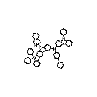 C1=CCCC([Si]2(c3ccccc3)c3ccccc3-c3cc4c5cc(N(c6ccc(-c7ccccc7)cc6)c6ccc7c(c6)c6ccccc6n7-c6ccccc6)ccc5n(-c5ncc6ccccc6n5)c4cc32)=C1